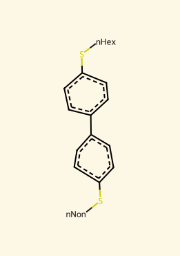 CCCCCCCCCSc1ccc(-c2ccc(SCCCCCC)cc2)cc1